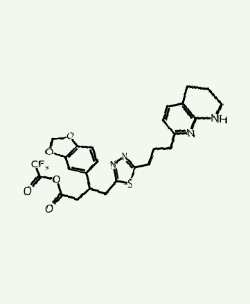 O=C(CC(Cc1nnc(CCCc2ccc3c(n2)NCCC3)s1)c1ccc2c(c1)OCO2)OC(=O)C(F)(F)F